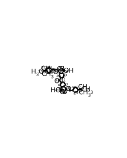 CC(C)(C)c1ccc(COC(=O)c2ccc(C(=O)c3ccc(C(=O)O)c(C(=O)OCc4ccc(C(C)(C)C)cc4)c3)cc2C(=O)O)cc1